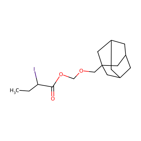 CCC(I)C(=O)OCOCC12CC3CC(CC(C3)C1)C2